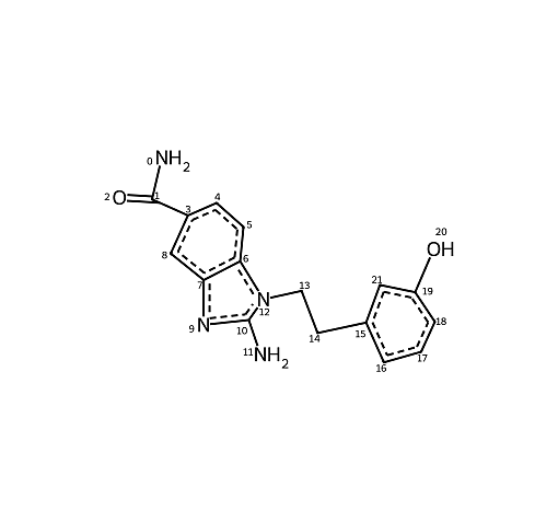 NC(=O)c1ccc2c(c1)nc(N)n2CCc1cccc(O)c1